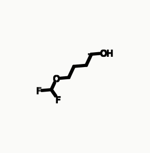 O[CH]CCCOC(F)F